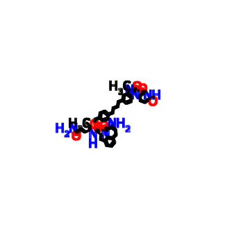 C[C@@H](OCc1ccc(CCCCc2ccc3c(c2)n(C)c(=O)n3C2CCC(=O)NC2=O)cc1)[C@H](CCC(N)=O)NC(=O)[C@@H]1Cc2cccc3c2N1C(=O)[C@@H](N)CC3